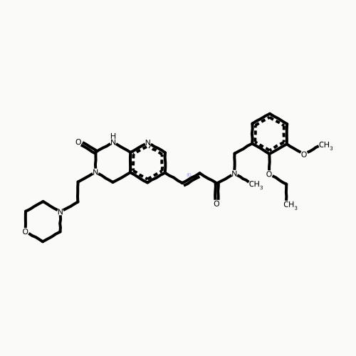 CCOc1c(CN(C)C(=O)/C=C/c2cnc3c(c2)CN(CCN2CCOCC2)C(=O)N3)cccc1OC